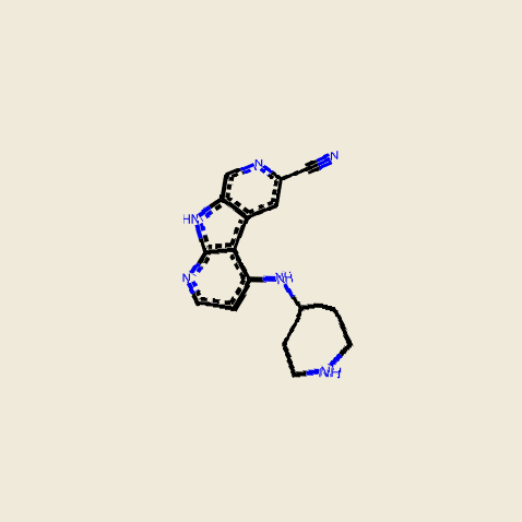 N#Cc1cc2c(cn1)[nH]c1nccc(NC3CCNCC3)c12